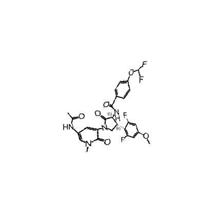 COc1cc(F)c([C@@H]2CN(c3cc(NC(C)=O)cn(C)c3=O)C(=O)[C@H]2NC(=O)c2ccc(OC(F)F)cc2)c(F)c1